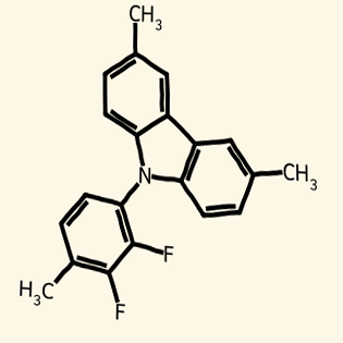 Cc1ccc2c(c1)c1cc(C)ccc1n2-c1ccc(C)c(F)c1F